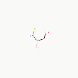 BC(CO)NS